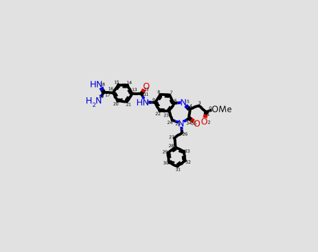 COC(=O)CC1=Nc2ccc(NC(=O)c3ccc(C(=N)N)cc3)cc2CN(CCc2ccccc2)C1=O